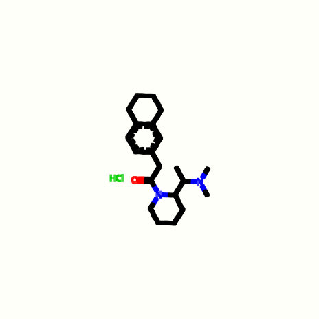 CC(C1CCCCN1C(=O)Cc1ccc2c(c1)CCCC2)N(C)C.Cl